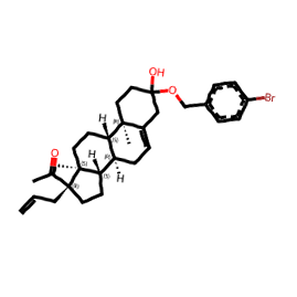 C=CC[C@]1(C(C)=O)CC[C@H]2[C@@H]3CC=C4CC(O)(OCc5ccc(Br)cc5)CC[C@]4(C)[C@H]3CC[C@@]21C